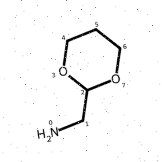 NCC1OCCCO1